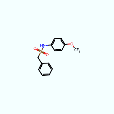 O=S(=O)(Cc1ccccc1)Nc1ccc(OC(F)(F)F)cc1